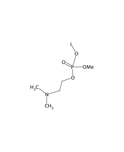 COP(=O)(OI)OCCN(C)C